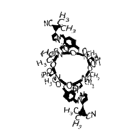 CC(C)C[C@H]1C(=O)O[C@H](Cc2ccc(Cn3nccc3[C@H]3[C@H](C#N)C3(C)C)cc2)C(=O)N(C)[C@@H](CC(C)C)C(=O)O[C@H](C)C(=O)N(C)[C@@H](CC(C)C)C(=O)O[C@H](Cc2ccc(Cn3nccc3[C@@H]3[C@@H](C#N)C3(C)C)cc2)C(=O)N(C)[C@@H](CC(C)C)C(=O)O[C@H](C)C(=O)N1C